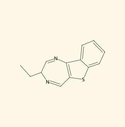 CCC1C=Nc2c(sc3ccccc23)C=N1